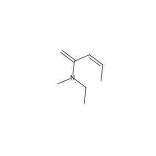 C=C(/C=C\C)N(C)CC